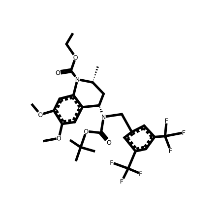 CCOC(=O)N1c2cc(OC)c(OC)cc2[C@@H](N(Cc2cc(C(F)(F)F)cc(C(F)(F)F)c2)C(=O)OC(C)(C)C)C[C@H]1C